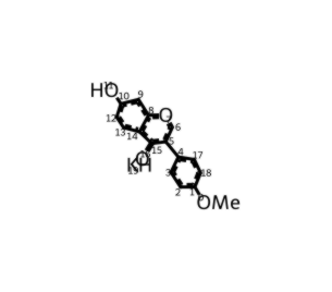 COc1ccc(-c2coc3cc(O)ccc3c2=O)cc1.[KH]